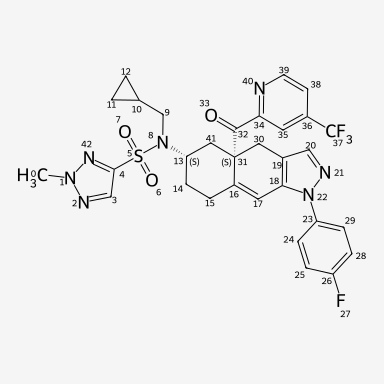 Cn1ncc(S(=O)(=O)N(CC2CC2)[C@H]2CCC3=Cc4c(cnn4-c4ccc(F)cc4)C[C@]3(C(=O)c3cc(C(F)(F)F)ccn3)C2)n1